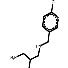 CC(CN)CNCc1ccc(Cl)nc1